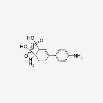 Nc1ccc(C2=CC(S(=O)(=O)O)C(N)(S(=O)(=O)O)C=C2)cc1